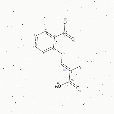 C/C(=C\Cc1ccccc1[N+](=O)[O-])C(=O)O